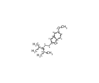 COc1ccc2oc(CCN(C(C)C)C(C)C)cc2c1